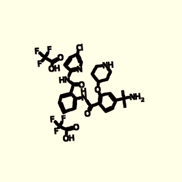 CC(C)(N)c1ccc(C(=O)Nc2ccccc2C(=O)Nc2ccc(Cl)cn2)c(OC2CCNCC2)c1.O=C(O)C(F)(F)F.O=C(O)C(F)(F)F